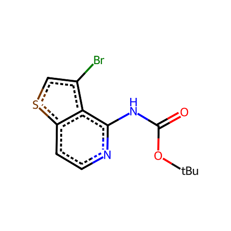 CC(C)(C)OC(=O)Nc1nccc2scc(Br)c12